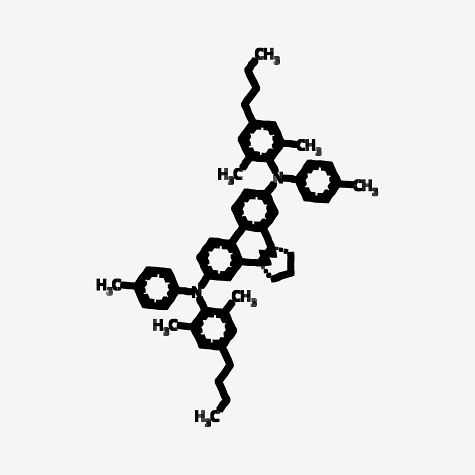 CCCCc1cc(C)c(N(c2ccc(C)cc2)c2ccc3c(c2)[C@]24CCC[C@]2(CCC4)c2cc(N(c4ccc(C)cc4)c4c(C)cc(CCCC)cc4C)ccc2-3)c(C)c1